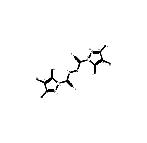 Cc1nn(C(=S)SSC(=S)n2nc(C)c(C)c2C)c(C)c1C